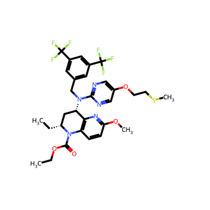 CCOC(=O)N1c2ccc(OC)nc2[C@@H](N(Cc2cc(C(F)(F)F)cc(C(F)(F)F)c2)c2ncc(OCCSC)cn2)C[C@H]1CC